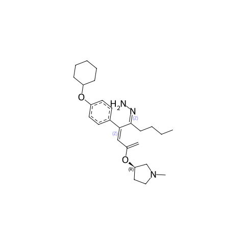 C=C(/C=C(\C(CCCC)=N/N)c1ccc(OC2CCCCC2)cc1)O[C@@H]1CCN(C)C1